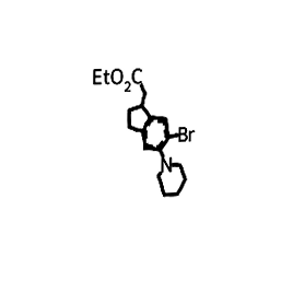 CCOC(=O)CC1CCc2cc(N3CCCCC3)c(Br)cc21